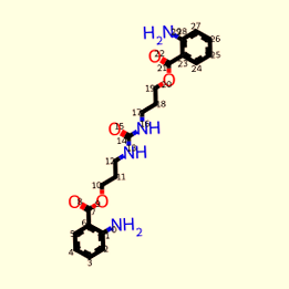 Nc1ccccc1C(=O)OCCCNC(=O)NCCCOC(=O)c1ccccc1N